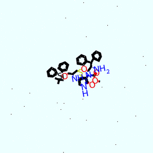 COC(=O)N(C(=O)[C@@H](N)C(c1ccccc1)c1ccccc1)c1c(SC[C@H](N)CO[Si](c2ccccc2)(c2ccccc2)C(C)(C)C)cc[nH]c1=O